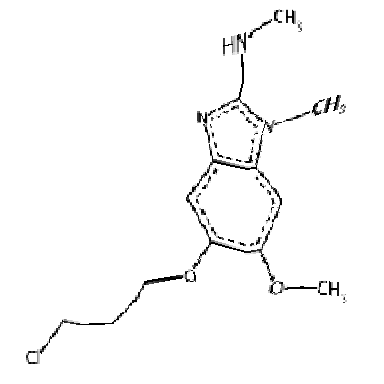 CNc1nc2cc(OCCCCl)c(OC)cc2n1C